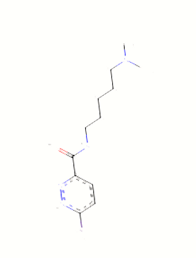 CN(C)CCCCCNC(=O)c1ccc([124I])nn1